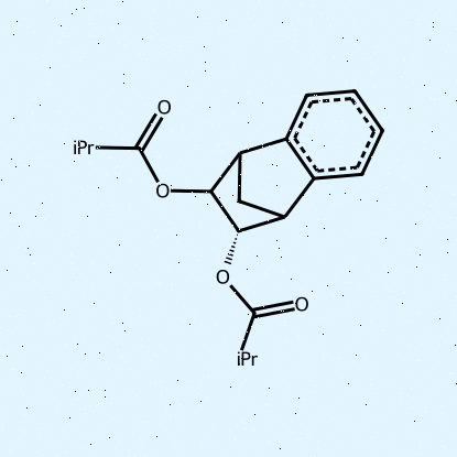 CC(C)C(=O)OC1C2CC(c3ccccc32)[C@@H]1OC(=O)C(C)C